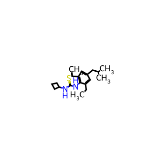 CCc1cc(CC(C)C)cc(CC)c1NC(=S)NC1CCC1